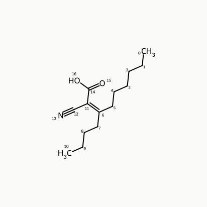 CCCCCCC(CCCC)=C(C#N)C(=O)O